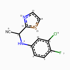 N#CC(Nc1ccc(F)c(Cl)c1)c1nccs1